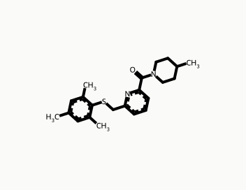 Cc1cc(C)c(SCc2cccc(C(=O)N3CCC(C)CC3)n2)c(C)c1